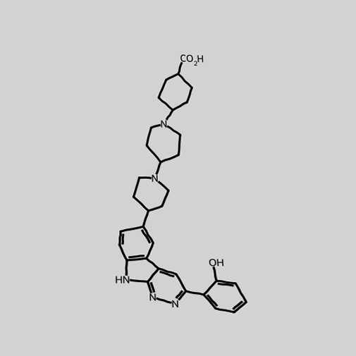 O=C(O)C1CCC(N2CCC(N3CCC(c4ccc5[nH]c6nnc(-c7ccccc7O)cc6c5c4)CC3)CC2)CC1